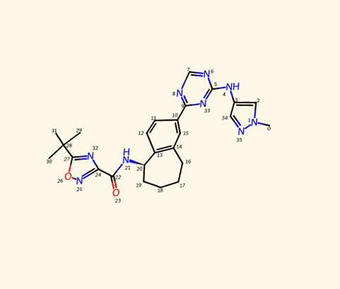 Cn1cc(Nc2ncnc(-c3ccc4c(c3)CCCC[C@H]4NC(=O)c3noc(C(C)(C)C)n3)n2)cn1